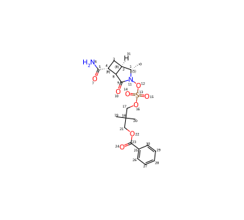 C[C@H]1[C@@H]2C[C@@H](C(N)=O)C2C(=O)N1OS(=O)(=O)OCC(C)(C)COC(=O)c1ccccc1